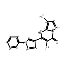 CC(C)c1c(-c2cnn(-c3ccccc3)c2)[nH]c2c(C#N)cnn2c1=O